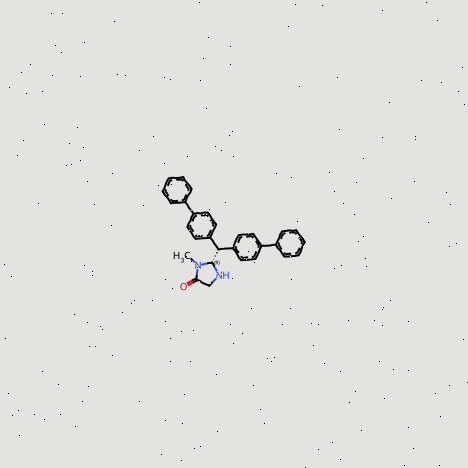 CN1C(=O)CN[C@H]1C(c1ccc(-c2ccccc2)cc1)c1ccc(-c2ccccc2)cc1